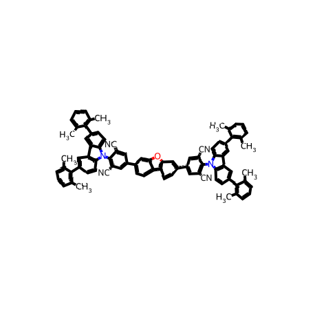 Cc1cccc(C)c1-c1ccc2c(c1)c1cc(-c3c(C)cccc3C)ccc1n2-c1c(C#N)cc(-c2ccc3c(c2)oc2cc(-c4cc(C#N)c(-n5c6ccc(-c7c(C)cccc7C)cc6c6cc(-c7c(C)cccc7C)ccc65)c(C#N)c4)ccc23)cc1C#N